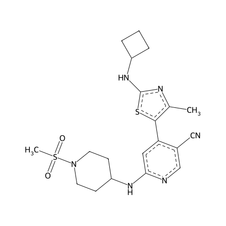 Cc1nc(NC2CCC2)sc1-c1cc(NC2CCN(S(C)(=O)=O)CC2)ncc1C#N